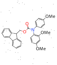 COc1ccc(N(C(=O)OCC2c3ccccc3-c3ccccc32)c2ccc(OC)cc2OC)cc1